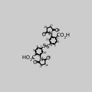 O=C(O)c1ccc(SSc2ccc(C(=O)O)c(N3C(=O)CCC3=O)c2)cc1N1C(=O)CCC1=O